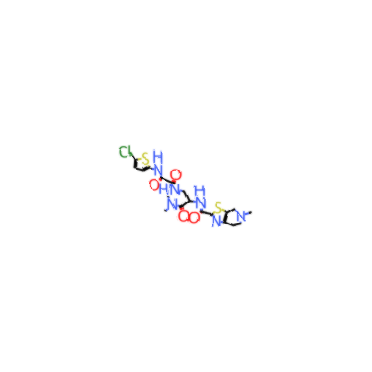 CN1CCc2nc(C(=O)NC(CNC(=O)C(=O)Nc3ccc(Cl)s3)C(=O)N(C)C)sc2C1